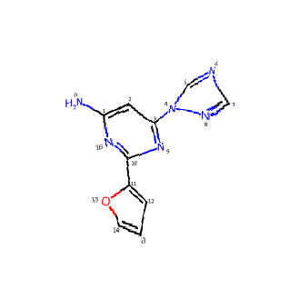 Nc1cc(-n2cncn2)nc(-c2ccco2)n1